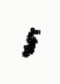 O=C(O)C1CN(Cc2ccc(-c3noc(-c4onc(-c5ccccc5)c4C(F)(F)F)n3)c(C(F)(F)F)c2)C1